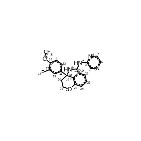 O=C(Nc1cnccn1)N[C@]1(c2ccc(OC(F)(F)F)c(F)c2)CCOc2cccnc21